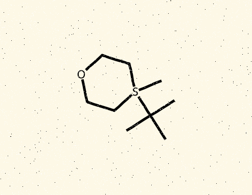 CC(C)(C)S1(C)CCOCC1